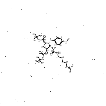 COc1ccc(C[C@@H]2[C@H](OC(=O)NCCCCCN(C)C)[C@@H](OC(=O)OC(C)(C)C)CN2C(=O)OC(C)(C)C)cc1